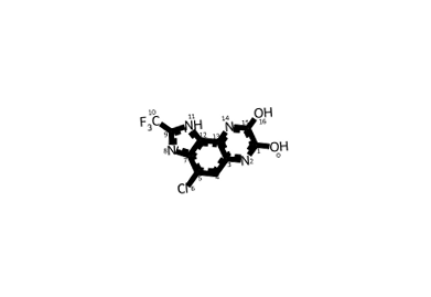 Oc1nc2cc(Cl)c3nc(C(F)(F)F)[nH]c3c2nc1O